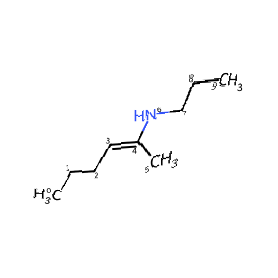 CCC/C=C(\C)NCCC